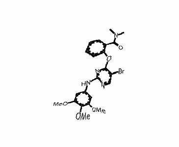 COc1cc(Nc2ncc(Br)c(Oc3ccccc3C(=O)N(C)C)n2)cc(OC)c1OC